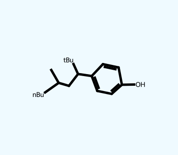 CCCCC(C)CC(c1ccc(O)cc1)C(C)(C)C